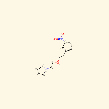 O=[N+]([O-])c1cccc(CCOCCN2CCCC2)c1